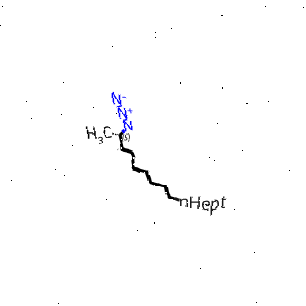 CCCCCCCCCCCCC[CH][C@H](C)N=[N+]=[N-]